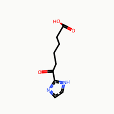 O=C(O)CCCCC(=O)c1ncc[nH]1